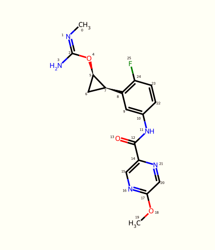 C/N=C(/N)O[C@@H]1C[C@@H]1c1cc(NC(=O)c2cnc(OC)cn2)ccc1F